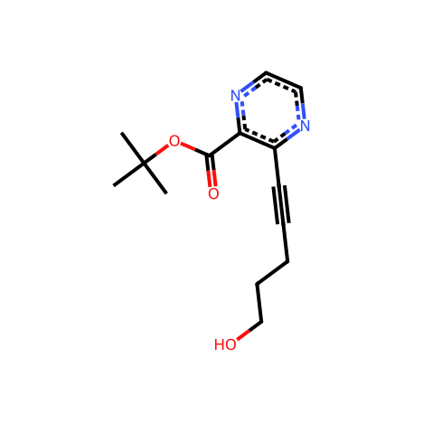 CC(C)(C)OC(=O)c1nccnc1C#CCCCO